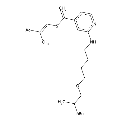 C=C(S/C=C(\C)C(C)=O)c1ccnc(NCCCCOCC(C)CCCC)c1